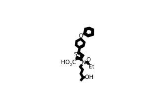 CCC(=O)N(CCCC(C)O)c1cc(C2=CCC(Oc3ccccc3)CC2)sc1C(=O)O